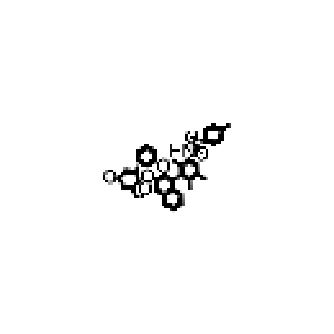 COC1(Oc2cc3ccccc3c(-c3c(C)c(C)cc(NS(=O)(=O)c4ccc(C)cc4)c3C)c2Oc2ccccc2)C(C)=CC(=O)C=C1C